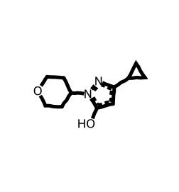 Oc1cc(C2CC2)nn1C1CCOCC1